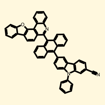 N#Cc1ccc2c3cc(-c4c5ccccc5c(-c5nc6ccccc6c6c5ccc5c7ccccc7oc56)c5ccccc45)ccc3n(-c3ccccc3)c2c1